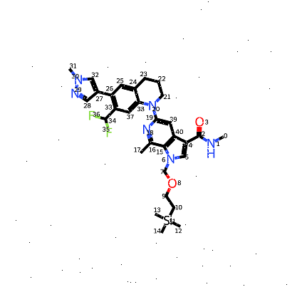 CNC(=O)c1cn(COCC[Si](C)(C)C)c2c(C)nc(N3CCCc4cc(-c5cnn(C)c5)c(C(F)F)cc43)cc12